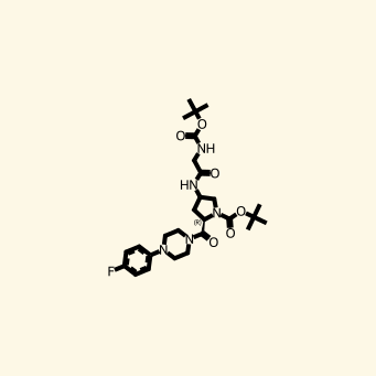 CC(C)(C)OC(=O)NCC(=O)NC1C[C@H](C(=O)N2CCN(c3ccc(F)cc3)CC2)N(C(=O)OC(C)(C)C)C1